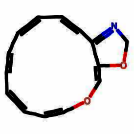 C1=CC=CC=CC2=NCOC2=COC=CC=C1